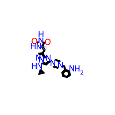 Nc1ccccc1CN1CCN(c2cc(NC3CC3)n3ncc(/C=C4\NC(=O)NC4=O)c3n2)CC1